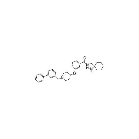 CN(C)C1(CNC(=O)c2cccc(OC3CCN(Cc4cccc(-c5ccccc5)c4)CC3)c2)CCCCC1